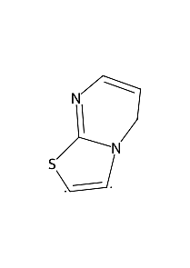 [C]1=[C]N2CC=CN=C2S1